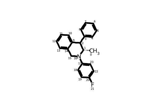 C[C@H]1C(c2ccccc2)c2ccccc2CN1c1ccc(F)cc1